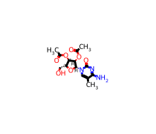 CC(=O)O[C@@H]1[C@H](OC(C)=O)[C@@H](CO)O[C@H]1n1cc(C)c(N)nc1=O